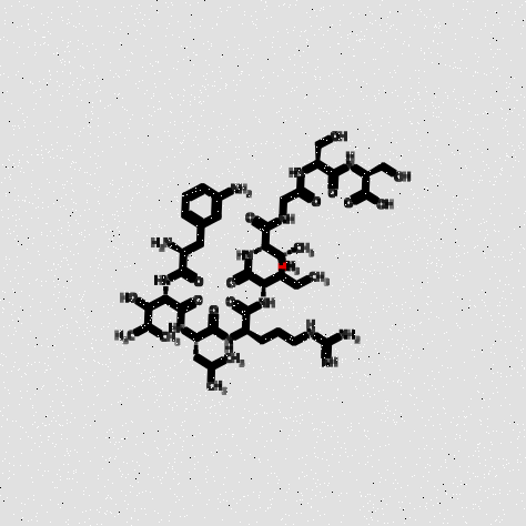 CC[C@H](C)[C@H](NC(=O)[C@@H](CCCNC(=N)N)NC(=O)[C@H](CC(C)C)NC(=O)[C@@H](NC(=O)[C@@H](N)Cc1cccc(N)c1)C(O)C(C)C)C(=O)N[C@H](C(=O)NCC(=O)N[C@@H](CO)C(=O)N[C@@H](CO)C(=O)O)[C@H](C)O